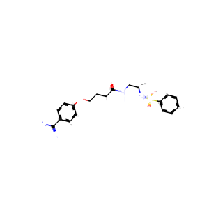 N=C(N)c1ccc(OCCCC(=O)NC[C@H](NS(=O)(=O)c2ccccc2)C(=O)O)cc1